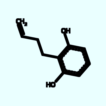 C=CCCc1c(O)cccc1O